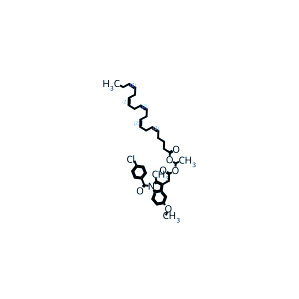 CC/C=C\C/C=C\C/C=C\C/C=C\C/C=C\CCCC(=O)OC(C)OC(=O)Cc1c(C)n(C(=O)c2ccc(Cl)cc2)c2ccc(OC)cc12